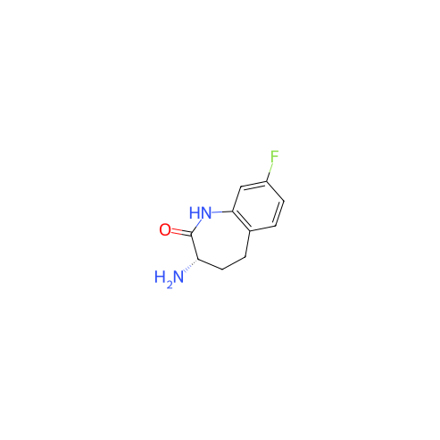 N[C@H]1CCc2ccc(F)cc2NC1=O